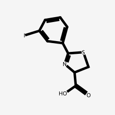 O=C(O)C1CSC(c2cccc(I)c2)=N1